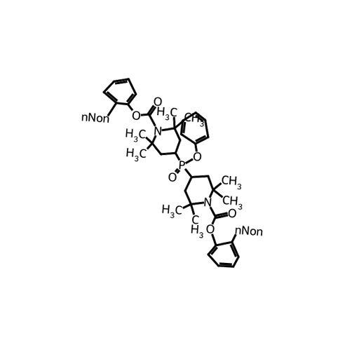 CCCCCCCCCc1ccccc1OC(=O)N1C(C)(C)CC(P(=O)(Oc2ccccc2)C2CC(C)(C)N(C(=O)Oc3ccccc3CCCCCCCCC)C(C)(C)C2)CC1(C)C